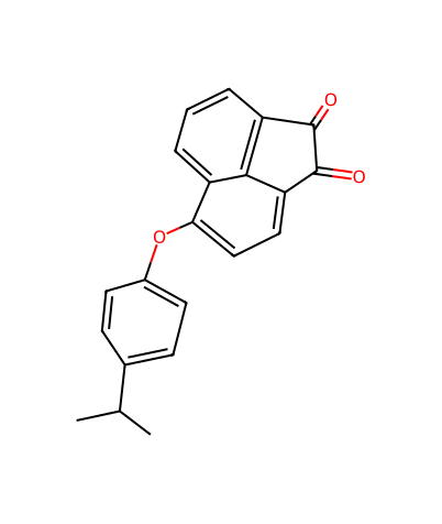 CC(C)c1ccc(Oc2ccc3c4c(cccc24)C(=O)C3=O)cc1